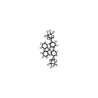 CC1(C)OB(c2ccc3c(c2)C(c2ccccc2)(c2ccccc2)c2cc(B4OC(C)(C)C(C)(C)O4)ccc2-3)OC1(C)C